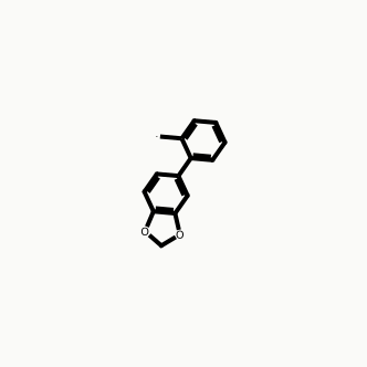 [CH2]c1ccccc1-c1ccc2c(c1)OCO2